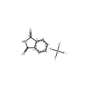 F[B-](F)(F)F.O=C1NC(=O)c2ccccc21